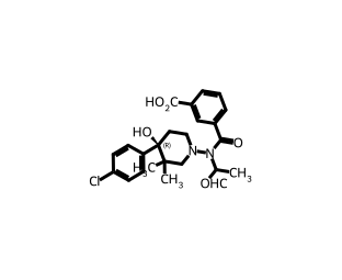 CC(C=O)N(C(=O)c1cccc(C(=O)O)c1)N1CC[C@@](O)(c2ccc(Cl)cc2)C(C)(C)C1